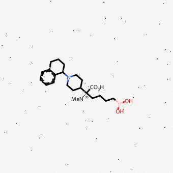 CN[C@@](CCCCB(O)O)(C(=O)O)C1CCN(C2CCCc3ccccc32)CC1